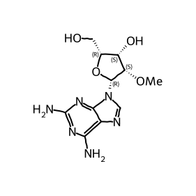 CO[C@H]1[C@@H](O)[C@@H](CO)O[C@H]1n1cnc2c(N)nc(N)nc21